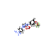 Nc1ccc(N2CCN(c3ccc(OC(F)(F)F)cc3)C2=O)cc1